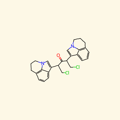 O=C(C(CCl)c1cn2c3c(cccc13)CCC2)C(CCl)c1cn2c3c(cccc13)CCC2